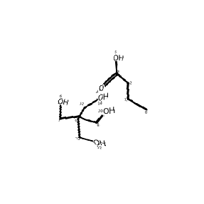 CCCC(=O)O.OCC(CO)(CO)CO